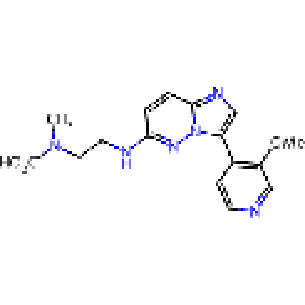 COc1cnccc1-c1cnc2ccc(NCCN(C)C(=O)O)nn12